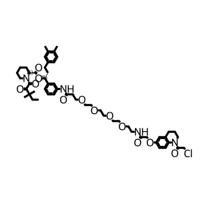 CCC(C)(C)C(=O)C(=O)N1CCCC[C@H]1C(=O)O[C@H](CCc1ccc(C)c(C)c1)c1cccc(NC(=O)CCOCCOCCOCCOCCNC(=O)COc2ccc3c(c2)CCCN3C(=O)CCl)c1